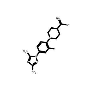 CCCC(=N)C1CCN(c2ccc(-n3nc(N)nc3N)cc2F)CC1